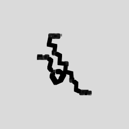 COCCOCCOCCOCCC(=O)[O-].COCC[n+]1ccccc1